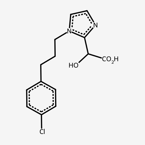 O=C(O)C(O)c1nccn1CCCc1ccc(Cl)cc1